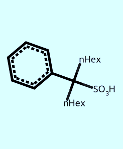 CCCCCCC(CCCCCC)(c1ccccc1)S(=O)(=O)O